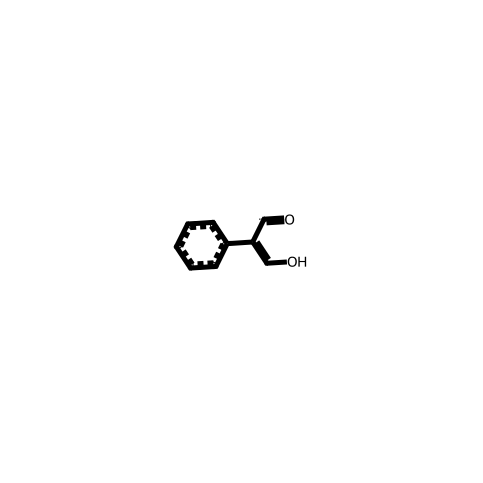 O=[C]C(=CO)c1ccccc1